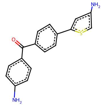 Nc1ccc(C(=O)c2ccc(-c3cc(N)cs3)cc2)cc1